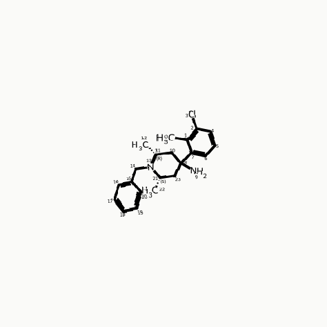 Cc1c(Cl)cccc1C1(N)C[C@@H](C)N(Cc2ccccc2)[C@@H](C)C1